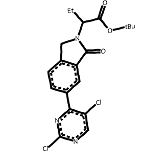 CCC(C(=O)OC(C)(C)C)N1Cc2ccc(-c3nc(Cl)ncc3Cl)cc2C1=O